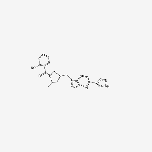 CC1CC(Cn2ccc3nc(-c4cn[nH]c4)ccc32)CN1C(=O)c1ccccc1C#N